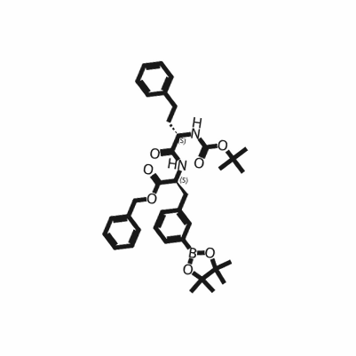 CC(C)(C)OC(=O)N[C@@H](CCc1ccccc1)C(=O)N[C@@H](Cc1cccc(B2OC(C)(C)C(C)(C)O2)c1)C(=O)OCc1ccccc1